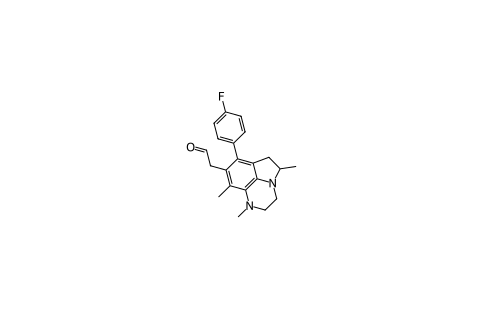 Cc1c(CC=O)c(-c2ccc(F)cc2)c2c3c1N(C)CCN3C(C)C2